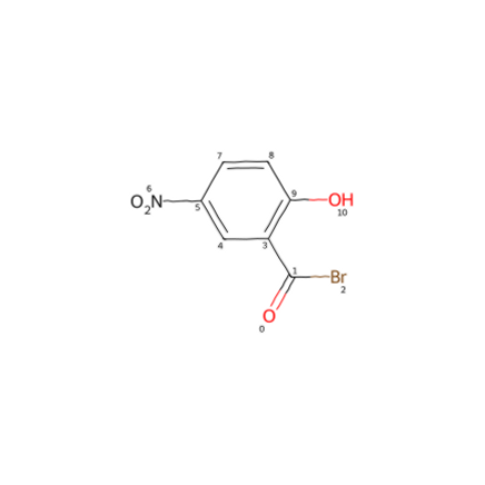 O=C(Br)c1cc([N+](=O)[O-])ccc1O